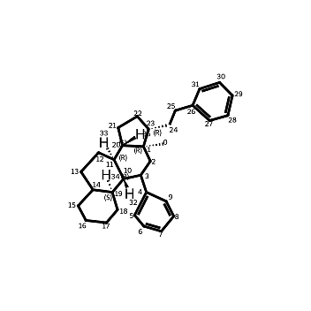 C[C@]12CC(c3ccccc3)[C@H]3[C@@H](CCC4CCCC[C@@H]43)[C@@H]1CC[C@@H]2CCc1ccccc1